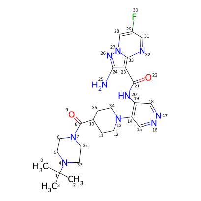 CC(C)(C)N1CCN(C(=O)C2CCN(c3cnncc3NC(=O)c3c(N)nn4cc(F)cnc34)CC2)CC1